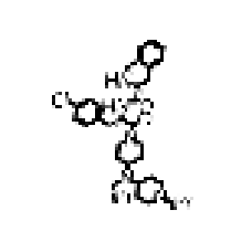 CC(C)CN(C1CCN(C(=O)[C@@H](Cc2ccc(Cl)cc2)NC(=O)[C@H]2Cc3ccccc3CN2)CC1)C1CCN(C(C)C)CC1